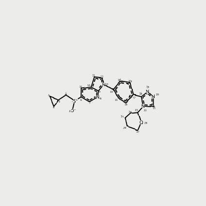 [O-][S+](CC1CC1)c1cnc2c(ccn2-c2ccc(-c3nncn3C3CCCCO3)cc2)c1